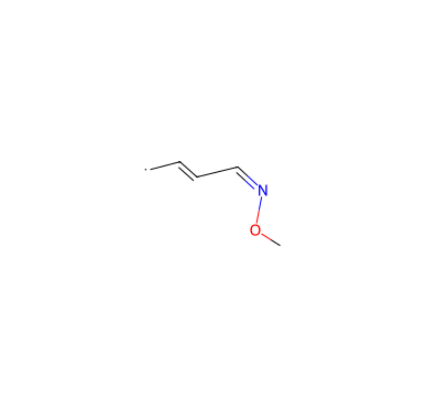 [CH2]/C=C/C=N\OC